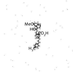 COc1ccc2nccc([C@@H](O)CC[C@@H]3CCN(CCCc4ccc(C)cc4)C[C@@H]3C(=O)O)c2c1